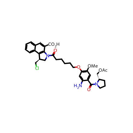 COc1cc(C(=O)N2CCC[C@H]2COC(C)=O)c(N)cc1OCCCCCC(=O)N1C[C@@H](CCl)c2c1c(C(=O)O)[c]c1ccccc21